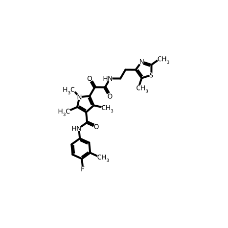 Cc1nc(CCNC(=O)C(=O)c2c(C)c(C(=O)Nc3ccc(F)c(C)c3)c(C)n2C)c(C)s1